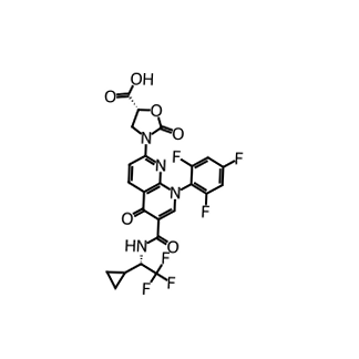 O=C(N[C@@H](C1CC1)C(F)(F)F)c1cn(-c2c(F)cc(F)cc2F)c2nc(N3C[C@H](C(=O)O)OC3=O)ccc2c1=O